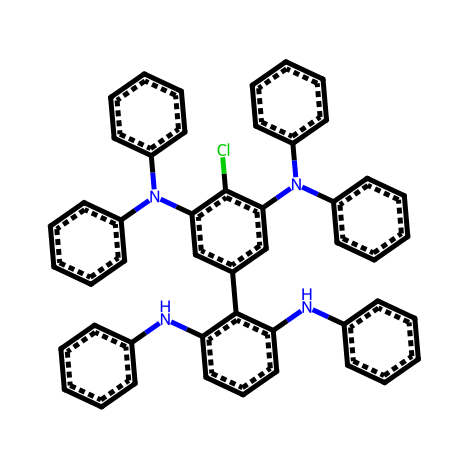 Clc1c(N(c2ccccc2)c2ccccc2)cc(-c2c(Nc3ccccc3)cccc2Nc2ccccc2)cc1N(c1ccccc1)c1ccccc1